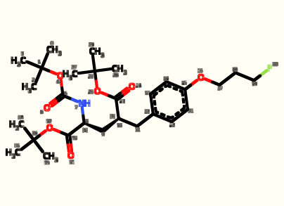 CC(C)(C)OC(=O)N[C@@H](C[C@H](Cc1ccc(OCCCF)cc1)C(=O)OC(C)(C)C)C(=O)OC(C)(C)C